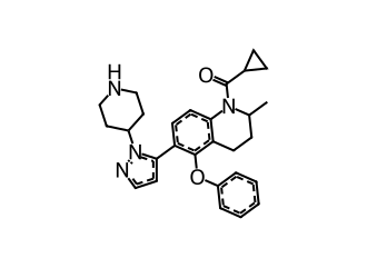 CC1CCc2c(ccc(-c3ccnn3C3CCNCC3)c2Oc2ccccc2)N1C(=O)C1CC1